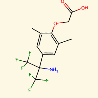 Cc1cc(C(N)(C(F)(F)F)C(F)(F)F)cc(C)c1OCC(=O)O